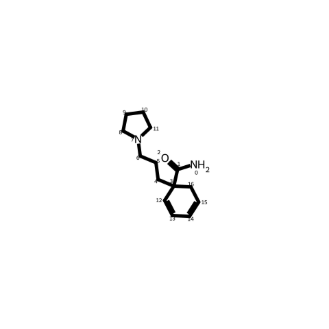 NC(=O)C1(CCCN2CCCC2)C=CC=CC1